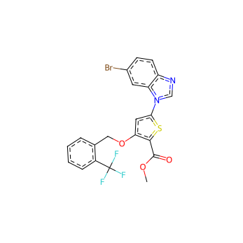 COC(=O)c1sc(-n2cnc3ccc(Br)cc32)cc1OCc1ccccc1C(F)(F)F